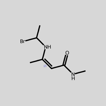 CNC(=O)/C=C(/C)NC(C)Br